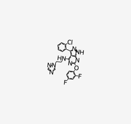 Fc1ccc(Oc2nc(NCCn3cncn3)c3c(-c4ccccc4Cl)n[nH]c3n2)c(F)c1